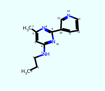 CCCNc1cc(C)nc(-c2cccnc2)n1